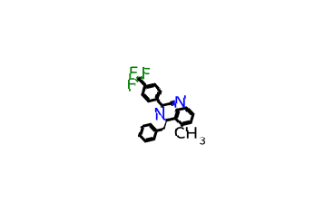 Cc1ccccc1[C@@H](Cc1ccccc1)/N=C(\C#N)c1ccc(C(F)(F)F)cc1